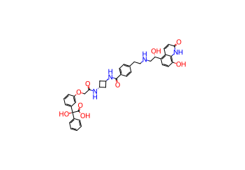 O=C(COc1cccc([C@](O)(C(=O)O)c2ccccc2)c1)N[C@H]1C[C@H](NC(=O)c2ccc(CCNC[C@H](O)c3ccc(O)c4[nH]c(=O)ccc34)cc2)C1